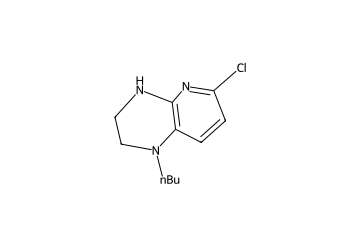 CCCCN1CCNc2nc(Cl)ccc21